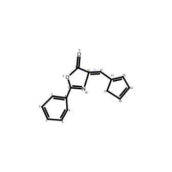 O=C1OC(c2ccccc2)=N/C1=C\C1=CC=CC1